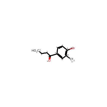 O=C(O)CCC(=O)c1ccc(Br)c(C(F)(F)F)c1